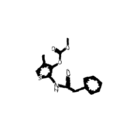 COC(=O)Oc1c(C)csc1NC(=O)Cc1ccccc1